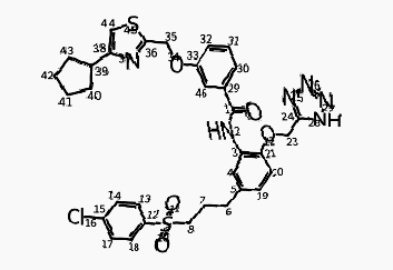 O=C(Nc1cc(CCCS(=O)(=O)c2ccc(Cl)cc2)ccc1OCc1nnn[nH]1)c1cccc(OCc2nc(C3CCCC3)cs2)c1